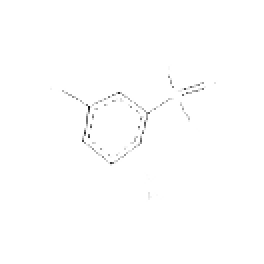 O=P([O-])([O-])c1cccc(Cl)c1.[Rb+].[Rb+]